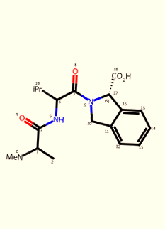 CNC(C)C(=O)NC(C(=O)N1Cc2ccccc2[C@H]1C(=O)O)C(C)C